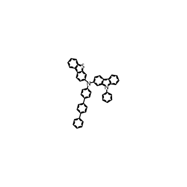 c1ccc(-c2ccc(-c3ccc(N(c4ccc5c(c4)sc4ccccc45)c4ccc5c6ccccc6n(-c6ccccc6)c5c4)cc3)cc2)cc1